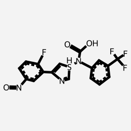 O=Nc1ccc(F)c(C2=C[SH](N(C(=O)O)c3cccc(C(F)(F)F)c3)C=N2)c1